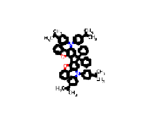 CC(C)c1ccc(N(c2ccc(C(C)C)cc2)c2cc3c(c4oc5ccccc5c24)-c2c(cc(N(c4ccc(C(C)C)cc4)c4ccc(C(C)C)cc4)c4c2oc2ccccc24)C3(c2ccccc2)c2ccccc2)cc1